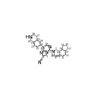 N#Cc1cn2c(NCc3c(F)ccc4c3CCC4)ncc(-c3ccc4c(c3)CCNC4)c2n1